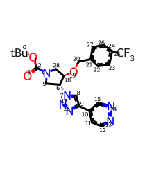 CC(C)(C)OC(=O)N1C[C@@H](n2cc(-c3ccnnc3)nn2)[C@H](OCc2ccc(C(F)(F)F)cc2)C1